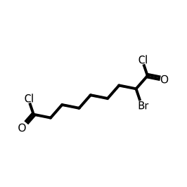 O=C(Cl)CCCCCCC(Br)C(=O)Cl